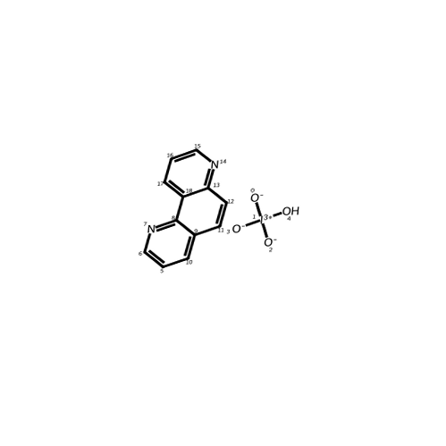 [O-][I+3]([O-])([O-])O.c1cnc2c(c1)ccc1ncccc12